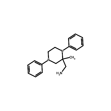 CC1(CN)CN(c2ccccc2)CCN1c1ccccc1